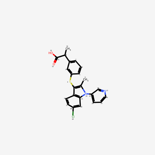 Cc1c(Sc2cccc(C(C)C(=O)O)c2)c2ccc(Cl)cc2n1-c1cccnc1